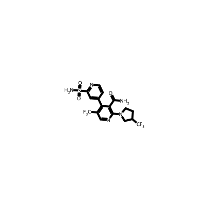 NC(=O)c1c(N2CCC(C(F)(F)F)C2)ncc(C(F)(F)F)c1-c1ccnc(S(N)(=O)=O)c1